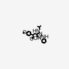 COc1ccc(C(Cc2cnc(Nc3ccccc3)nc2NCC(C)C)C(=O)O)cc1